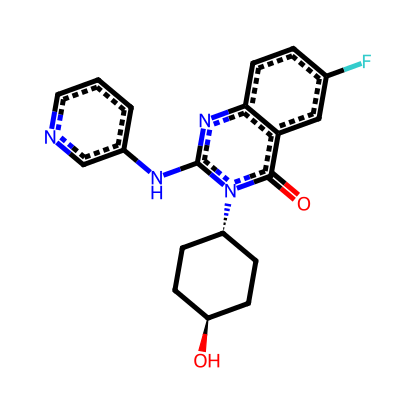 O=c1c2cc(F)ccc2nc(Nc2cccnc2)n1[C@H]1CC[C@H](O)CC1